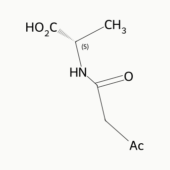 CC(=O)CC(=O)N[C@@H](C)C(=O)O